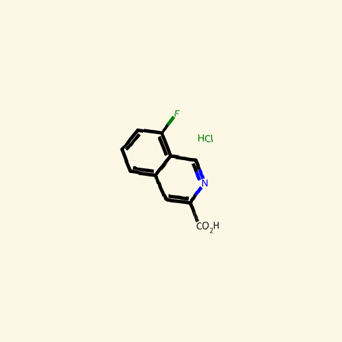 Cl.O=C(O)c1cc2cccc(F)c2cn1